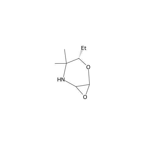 CC[C@@H]1OC2OC2NC1(C)C